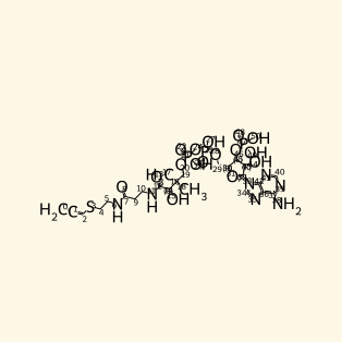 C=C=CSCCNC(=O)CCNC(=O)[C@H](O)C(C)(C)COP(=O)(O)OP(=O)(O)OC[C@H]1O[C@@H](n2cnc3c(N)ncnc32)[C@H](O)[C@@H]1OP(=O)(O)O